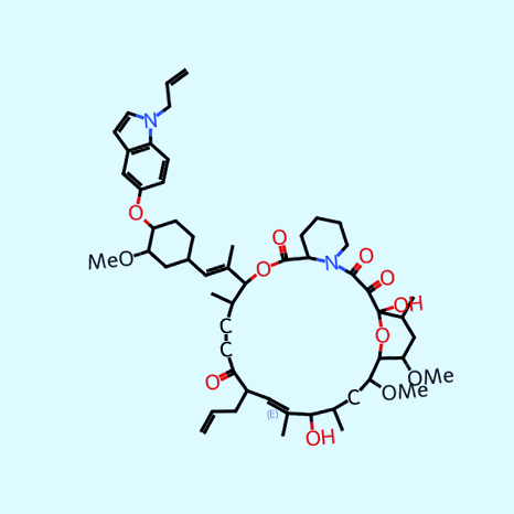 C=CCC1/C=C(\C)C(O)C(C)CC(OC)C2OC(O)(C(=O)C(=O)N3CCCCC3C(=O)OC(C(C)=CC3CCC(Oc4ccc5c(ccn5CC=C)c4)C(OC)C3)C(C)CCC1=O)C(C)CC2OC